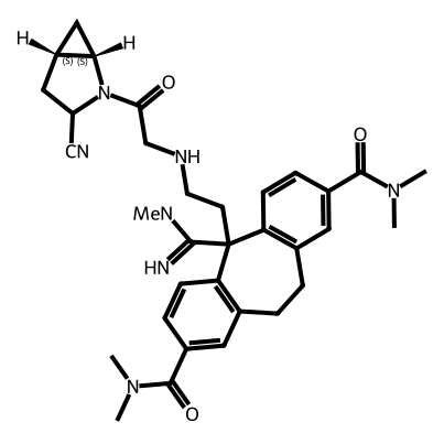 CNC(=N)C1(CCNCC(=O)N2C(C#N)C[C@@H]3C[C@@H]32)c2ccc(C(=O)N(C)C)cc2CCc2cc(C(=O)N(C)C)ccc21